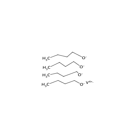 CCCC[O-].CCCC[O-].CCCC[O-].CCCC[O-].[V+4]